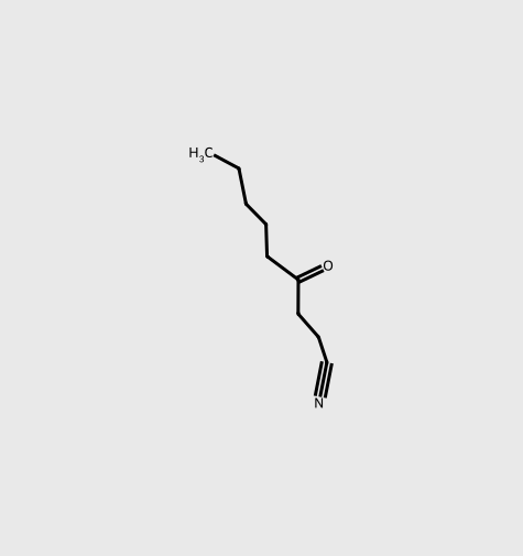 CCCCCC(=O)CCC#N